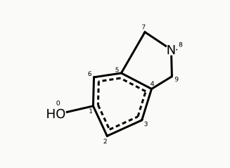 Oc1ccc2c(c1)C[N]C2